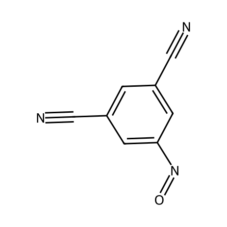 N#Cc1cc(C#N)cc(N=O)c1